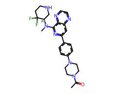 CC(=O)N1CCN(c2ccc(-c3cc4nccnc4c(N(C)[C@@H]4CNCCC4(F)F)n3)cc2)CC1